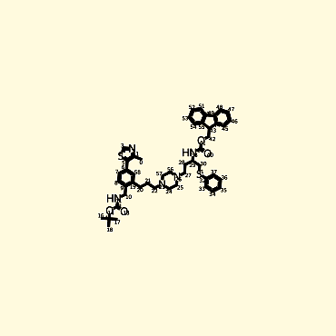 Cc1ncsc1-c1ccc(CNC(=O)OC(C)(C)C)c(CCCN2CCN(CCC(CSc3ccccc3)NC(=O)OCC3c4ccccc4-c4ccccc43)CC2)c1